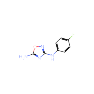 Nc1nc(Nc2ccc(F)cc2)no1